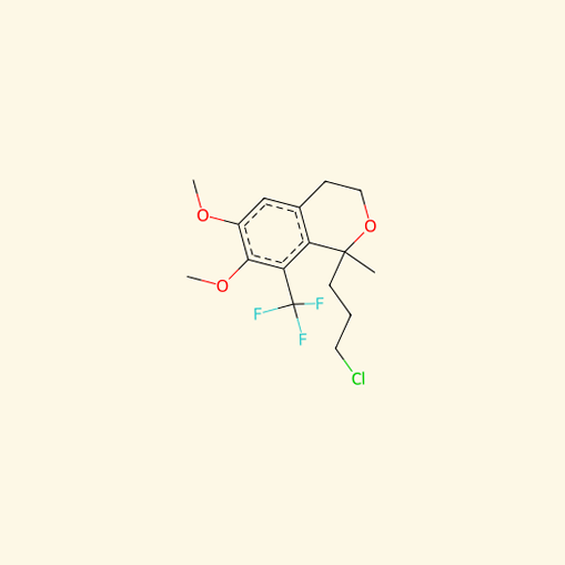 COc1cc2c(c(C(F)(F)F)c1OC)C(C)(CCCCl)OCC2